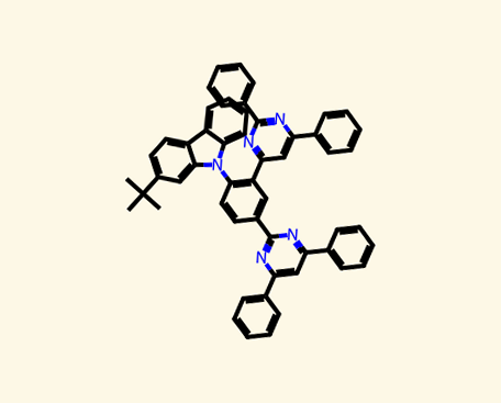 CC(C)(C)c1ccc2c3ccccc3n(-c3ccc(-c4nc(-c5ccccc5)cc(-c5ccccc5)n4)cc3-c3cc(-c4ccccc4)nc(-c4ccccc4)n3)c2c1